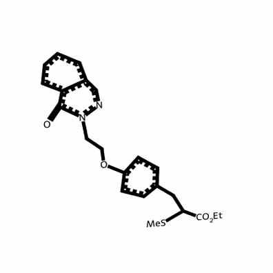 CCOC(=O)C(Cc1ccc(OCCn2ncc3ccccc3c2=O)cc1)SC